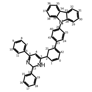 C1=CC(C2=CC(c3ccccc3)=NC(c3ccccc3)N2)CC(c2ccc(-n3c4ccccc4c4ccccc43)cc2)=C1